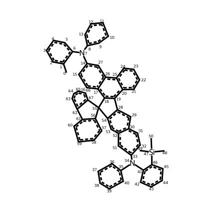 Cc1ccccc1N(c1ccccc1)c1ccc2c3c(c4ccccc4c2c1)-c1cc2ccc(N(c4ccccc4)c4ccccc4[Si](C)(C)C)cc2cc1C31c2ccccc2-c2ccccc21